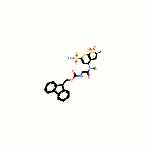 CCN(C(=O)CNC(=O)OCC1c2ccccc2-c2ccccc21)[C@H]1C=C(S(N)(=O)=O)SC2=C1C[C@H](C)S2(=O)=O